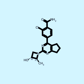 C[C@H]1[C@H](O)CN1c1nc2c(c(-c3ccc(C(N)=O)c(Cl)c3)n1)CCC2